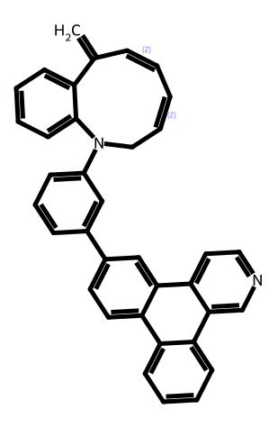 C=C1/C=C\C=C/CN(c2cccc(-c3ccc4c5ccccc5c5cnccc5c4c3)c2)c2ccccc21